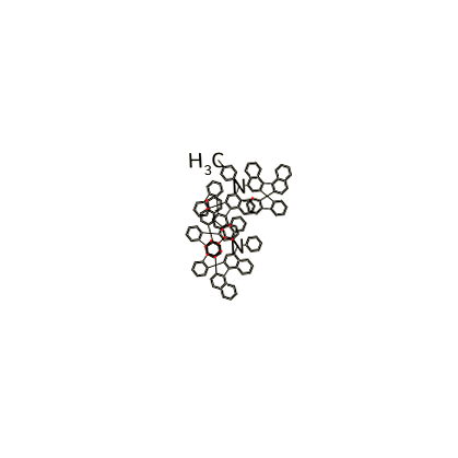 Cc1ccc(N(c2cc3c(c4ccccc24)-c2c(ccc4ccccc24)C32c3ccccc3-c3ccccc32)c2cc3c(c4ccccc24)-c2c(ccc4c(-c5ccc6c(c5)C5(c7ccccc7-6)c6ccc7ccccc7c6-c6c5cc(N(c5ccccc5)c5cc7c(c8ccccc58)-c5c(ccc8ccccc58)C75c7ccccc7-c7ccccc75)c5ccccc65)cccc24)C32c3ccccc3-c3ccccc32)cc1